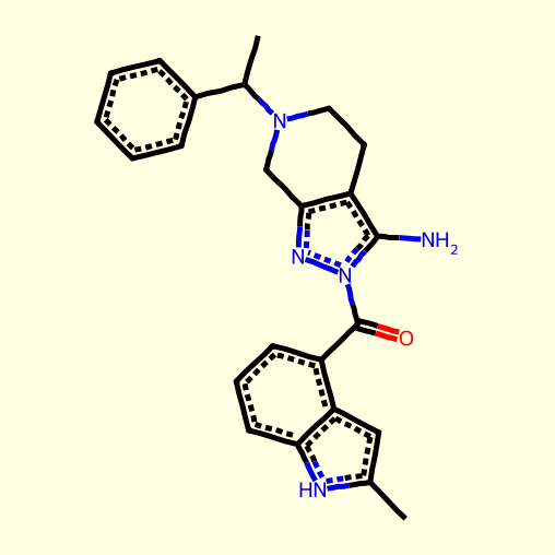 Cc1cc2c(C(=O)n3nc4c(c3N)CCN(C(C)c3ccccc3)C4)cccc2[nH]1